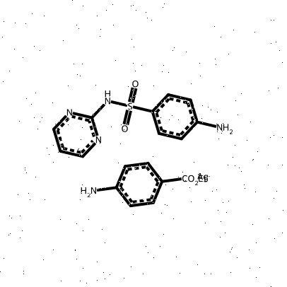 CCOC(=O)c1ccc(N)cc1.Nc1ccc(S(=O)(=O)Nc2ncccn2)cc1.[Ag]